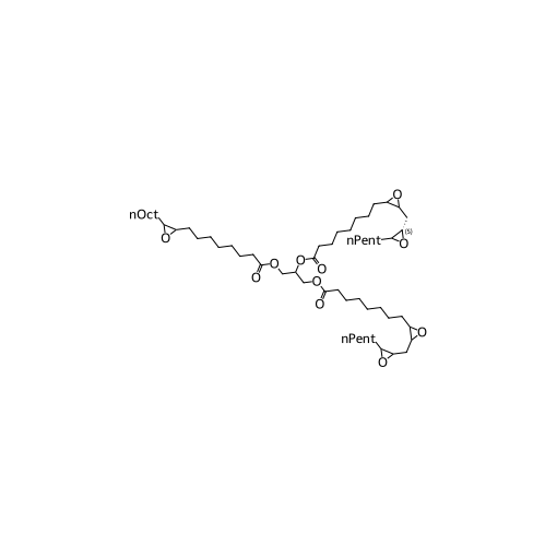 CCCCCCCCC1OC1CCCCCCCC(=O)OCC(COC(=O)CCCCCCCC1OC1CC1OC1CCCCC)OC(=O)CCCCCCCC1OC1C[C@@H]1OC1CCCCC